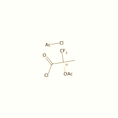 CC(=O)Cl.CC(=O)O[C@](C)(C(=O)Cl)C(F)(F)F